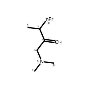 CCCC(C)C(=O)CN(C)C